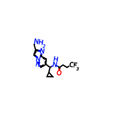 NCc1cn2ncc(C(NC(=O)CCC(F)(F)F)C3CC3)cc2n1